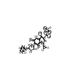 CS(=O)(=O)OC(=O)c1cn(C2CC2)c2c(F)c(N3CCC(n4cncn4)C3)c(F)cc2c1=O